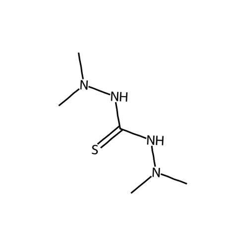 CN(C)NC(=S)NN(C)C